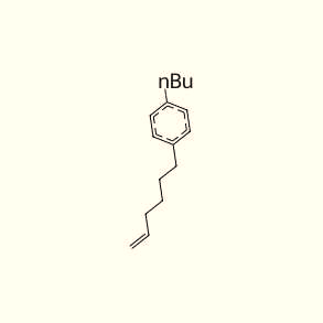 C=CCCCCc1ccc(CCCC)cc1